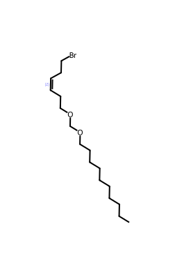 CCCCCCCCCCOCOCC/C=C\CCBr